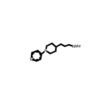 CNCCCC1CCN(c2ccncc2)CC1